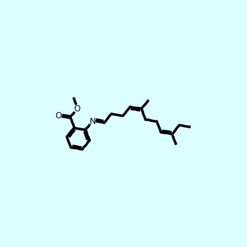 CCC(C)=CCCC(C)=CCCC=Nc1ccccc1C(=O)OC